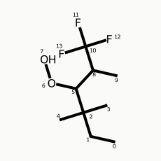 CCC(C)(C)C(OO)C(C)C(F)(F)F